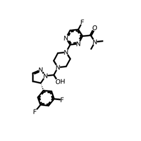 CN(C)C(=O)c1nc(N2CCN(C(O)N3N=CC[C@H]3c3cc(F)cc(F)c3)CC2)ncc1F